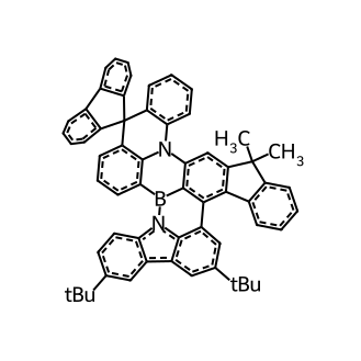 CC(C)(C)c1ccc2c(c1)c1cc(C(C)(C)C)cc3c1n2B1c2cccc4c2N(c2ccccc2C42c4ccccc4-c4ccccc42)c2cc4c(c-3c21)-c1ccccc1C4(C)C